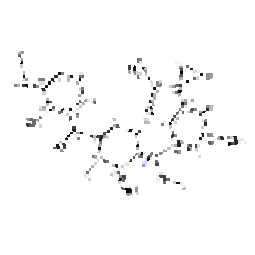 CN/C(=C1/CCN(C(=O)c2cccc(OC)c2Cl)C(C)C1=N)c1cc(Cl)cc(C2(C(N)=O)CC2)c1